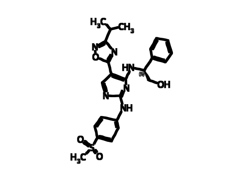 CC(C)c1noc(-c2cnc(Nc3ccc(S(C)(=O)=O)cc3)nc2N[C@H](CO)c2ccccc2)n1